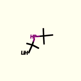 CC(C)(C)PC(C)(C)C.[LiH]